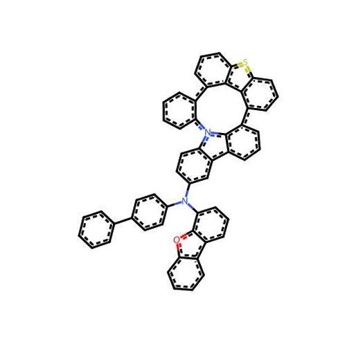 c1ccc(-c2ccc(N(c3ccc4c(c3)c3cccc5c6cccc7sc8cccc(c9ccccc9n4c53)c8c76)c3cccc4c3oc3ccccc34)cc2)cc1